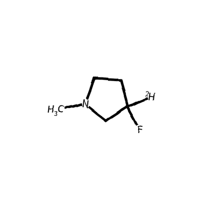 [2H]C1(F)CCN(C)C1